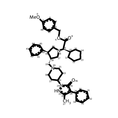 COc1ccc(COC(=O)[C@@H](C2CCCCC2)N2C[C@H](CN3CCC(n4[nH]c(C)c(-c5ccccc5)c4=O)CC3)[C@@H](c3ccccc3)C2)cc1